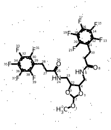 COC1OC(CNC(=O)CCc2c(F)c(F)c(F)c(F)c2F)C(CNC(=O)CCc2c(F)c(F)c(F)c(F)c2F)O1